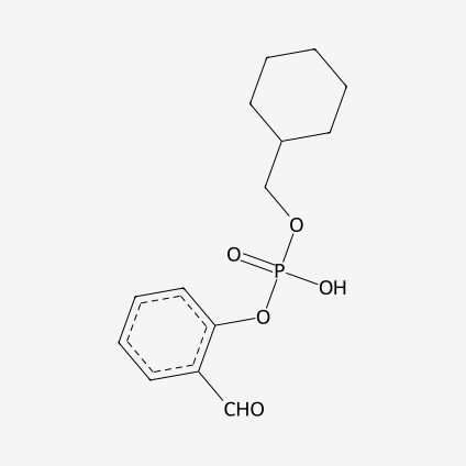 O=Cc1ccccc1OP(=O)(O)OCC1CCCCC1